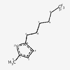 Cc1ccc(CCCCCC(F)(F)F)s1